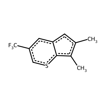 Cc1cc2cc(C(F)(F)F)csc-2c1C